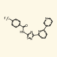 O=C(Nc1nc(-c2cccc(-c3cccnc3)n2)ns1)c1ccc(C(F)(F)F)cc1